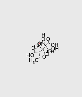 CCC(C(=O)O)C(C(=O)O)(C(=O)O)C(C(=O)O)(C(=O)O)C(=O)O